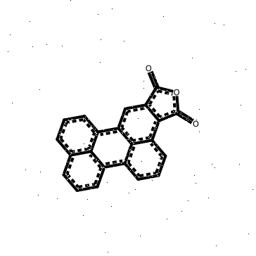 O=c1oc(=O)c2c1cc1c3cccc4cccc(c5cccc2c51)c43